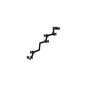 CNNNNCCNN